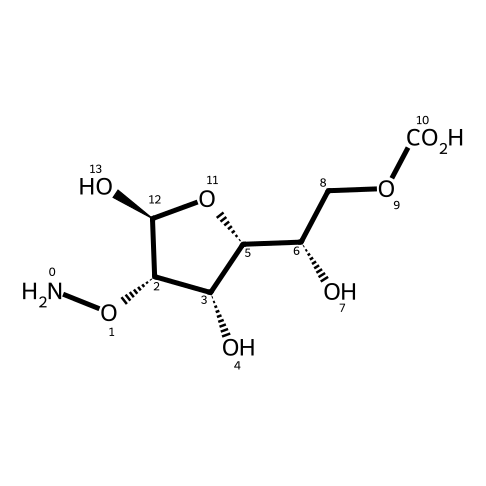 NO[C@H]1[C@@H](O)[C@@H]([C@@H](O)COC(=O)O)O[C@@H]1O